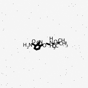 CC(C)(C)OC(=O)NCCOc1noc2c(C(N)=O)cccc12